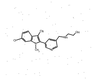 Cn1c(-c2cncc(CNCCO)c2)c(C#N)c2ccc(Cl)cc21